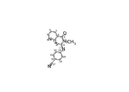 Cn1c(=O)c2cccnc2s/c1=N\c1ccc(C#N)cc1